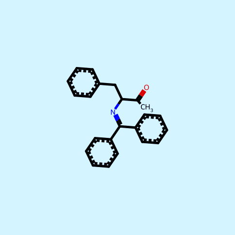 CC(=O)C(Cc1ccccc1)N=C(c1ccccc1)c1ccccc1